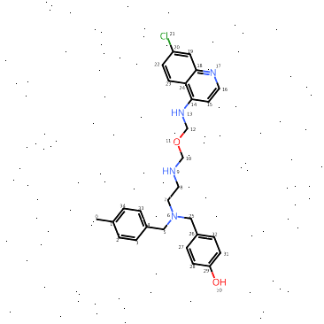 Cc1ccc(CN(CCNCOCNc2ccnc3cc(Cl)ccc23)Cc2ccc(O)cc2)cc1